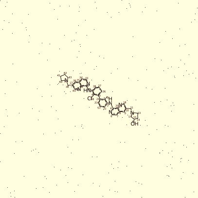 Cc1c(Nc2nccc3cc(CN4CC[C@@H](O)C4)cnc23)cccc1-c1cccc(Nc2nccc3cc(CN4CCCC4)cnc23)c1Cl